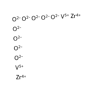 [O-2].[O-2].[O-2].[O-2].[O-2].[O-2].[O-2].[O-2].[O-2].[V+5].[V+5].[Zr+4].[Zr+4]